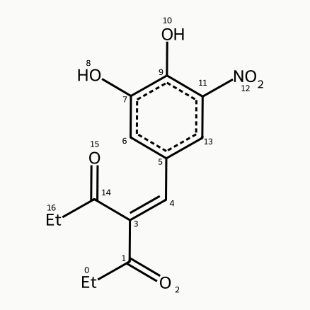 CCC(=O)C(=Cc1cc(O)c(O)c([N+](=O)[O-])c1)C(=O)CC